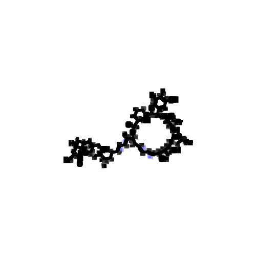 CC[C@H]1C[C@@H]2CC3=C[C@@H](C)[C@H](C[C@H](O)[C@@H](C)CC/C=C/C=C(\C)[C@@H]4C/C=C/C=C/[C@H](O)[C@H](C)[C@@H](O)[C@@H](CCC(C)=O)C(=O)N[C@@H](C(C)C)C(=O)NC(c5cc(O)c(F)c(F)c5)C(=O)N5CCCC(N5)C(=O)O4)O[C@@]32NC1=O